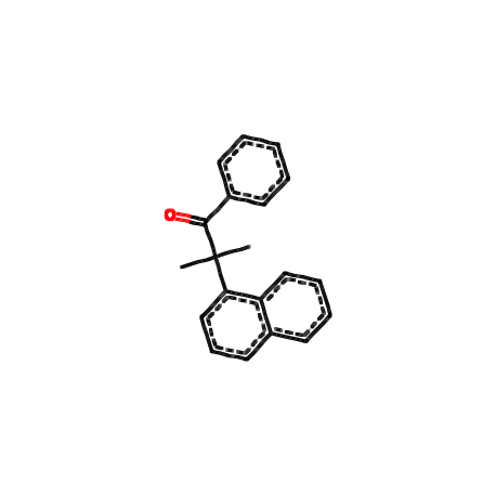 CC(C)(C(=O)c1ccccc1)c1cccc2ccccc12